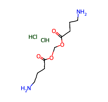 Cl.Cl.NCCCC(=O)OCOC(=O)CCCN